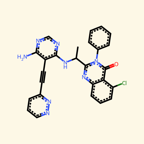 CC(Nc1ncnc(N)c1C#Cc1cccnn1)c1nc2cccc(Cl)c2c(=O)n1-c1ccccc1